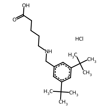 CC(C)(C)c1cc(CNCCCCC(=O)O)cc(C(C)(C)C)c1.Cl